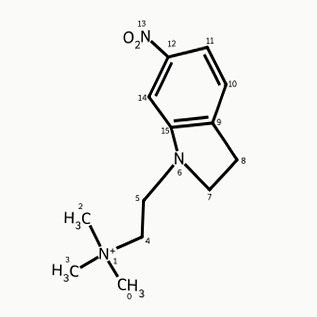 C[N+](C)(C)CCN1CCc2ccc([N+](=O)[O-])cc21